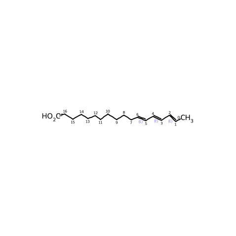 C/C=C/C=C/C=C/CCCCCCCCCCC(=O)O